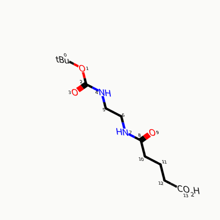 CC(C)(C)OC(=O)NCCNC(=O)CCCC(=O)O